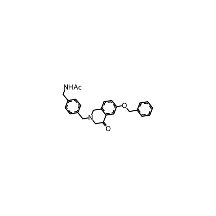 CC(=O)NCc1ccc(CN2CC(=O)c3cc(OCc4ccccc4)ccc3C2)cc1